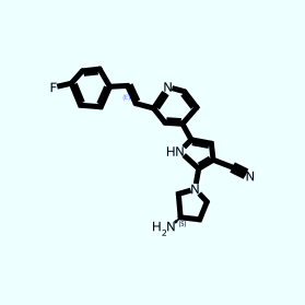 N#Cc1cc(-c2ccnc(/C=C/c3ccc(F)cc3)c2)[nH]c1N1CC[C@H](N)C1